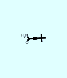 CC(C)(C)C#CC(N)=O